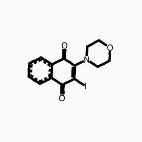 O=C1C(I)=C(N2CCOCC2)C(=O)c2ccccc21